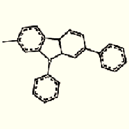 Cc1ccc2c(c1)N(c1ccccc1)C1C=C(c3ccccc3)C=CC21